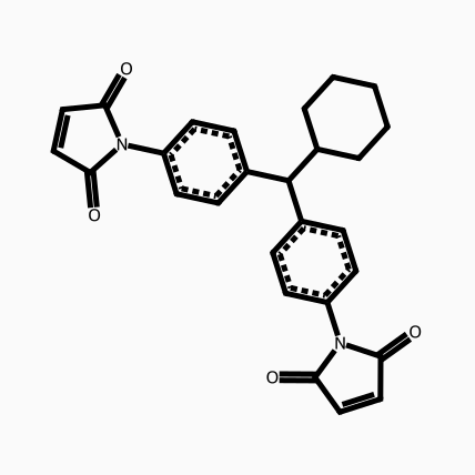 O=C1C=CC(=O)N1c1ccc(C(c2ccc(N3C(=O)C=CC3=O)cc2)C2CCCCC2)cc1